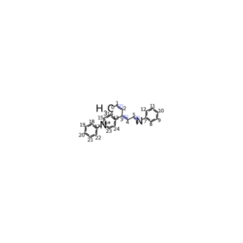 C\C=C/C(=C\C=N\c1ccccc1)c1cc[n+](-c2ccccc2)cc1